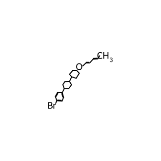 CC=CC=CCOC1CCC(C2CCC(c3ccc(Br)cc3)CC2)CC1